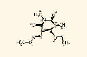 CCOc1c(/C=N/OC)c(=O)n(C)c(=O)n1C